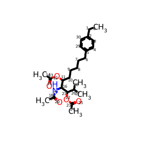 CCc1ccc(CCCCCC(OC(C)=O)C(NC(C)=O)C(OC(C)=O)C(C)C)cc1